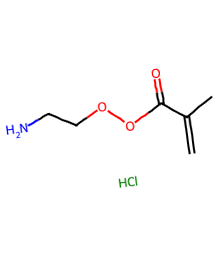 C=C(C)C(=O)OOCCN.Cl